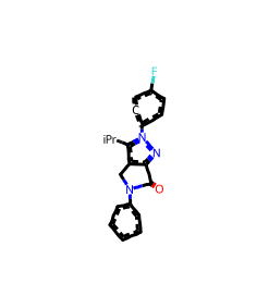 CC(C)c1c2c(nn1-c1ccc(F)cc1)C(=O)N(c1ccccc1)C2